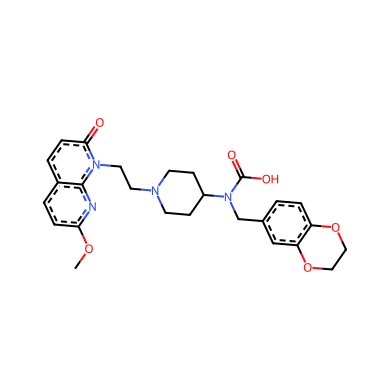 COc1ccc2ccc(=O)n(CCN3CCC(N(Cc4ccc5c(c4)OCCO5)C(=O)O)CC3)c2n1